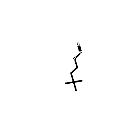 CC(C)(C)CCOP=O